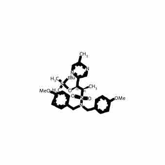 COc1ccc(CN(Cc2ccc(OC)cc2)S(=O)(=O)[C@H](C)[C@@H](O[Si](C)(C)C(C)(C)C)c2cnc(C)cn2)cc1